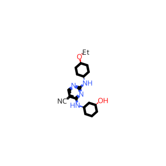 CCO[C@H]1CC[C@H](Nc2ncc(C#N)c(N[C@@H]3CCC[C@@H](O)C3)n2)CC1